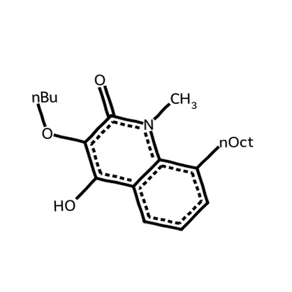 CCCCCCCCc1cccc2c(O)c(OCCCC)c(=O)n(C)c12